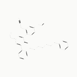 C=CSc1ccc(-c2cn(CC)cc(-c3ccccc3CCCCCCCc3ccccc3)c2=O)c(CC#N)c1